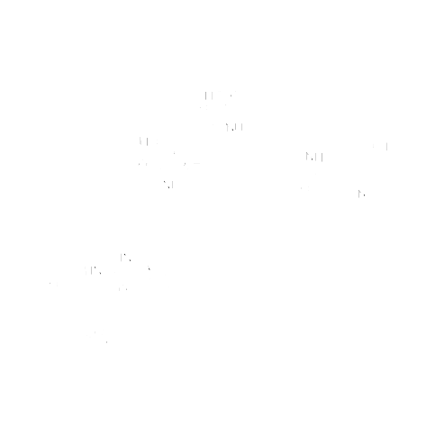 Cc1cncc(C(=O)NCCCCC(NC(=O)CCC(C)(C)C(=O)NCCCC[C@H](NC(=O)NC(CCC(=O)O)C(=O)O)C(=O)O)C(=O)O)c1